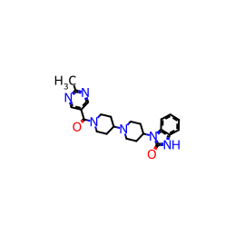 Cc1ncc(C(=O)N2CCC(N3CCC(n4c(=O)[nH]c5ccccc54)CC3)CC2)cn1